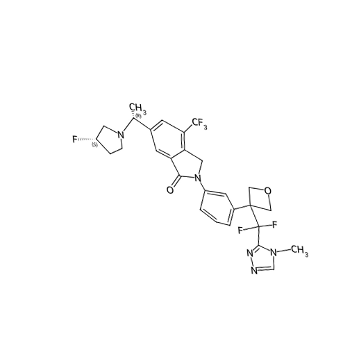 C[C@H](c1cc2c(c(C(F)(F)F)c1)CN(c1cccc(C3(C(F)(F)c4nncn4C)COC3)c1)C2=O)N1CC[C@H](F)C1